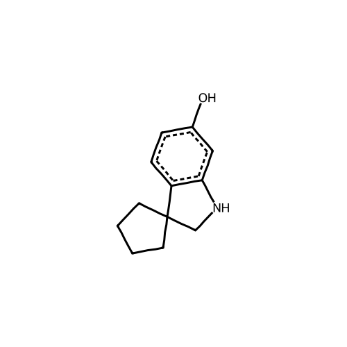 Oc1ccc2c(c1)NCC21CCCC1